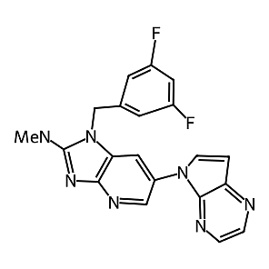 CNc1nc2ncc(-n3ccc4nccnc43)cc2n1Cc1cc(F)cc(F)c1